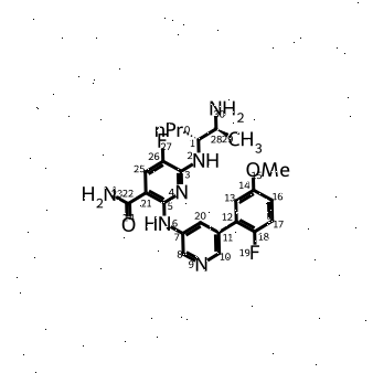 CCC[C@@H](Nc1nc(Nc2cncc(-c3cc(OC)ccc3F)c2)c(C(N)=O)cc1F)[C@H](C)N